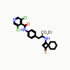 CCOC(=O)[C@H](Cc1ccc(NC(=O)c2c(Cl)cncc2Cl)cc1)NC1=CC(=S)C12CCCCC2